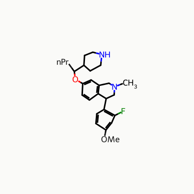 CCCC(Oc1ccc2c(c1)CN(C)CC2c1ccc(OC)cc1F)C1CCNCC1